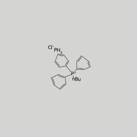 CCCC[P+](c1ccccc1)(c1ccccc1)c1ccccc1.P.[Cl-]